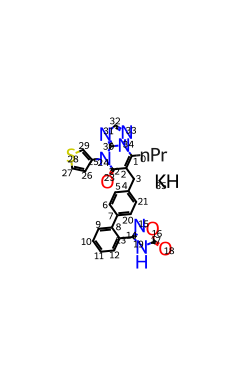 CCCc1c(Cc2ccc(-c3ccccc3-c3noc(=O)[nH]3)cc2)c(=O)n(-c2ccsc2)c2ncnn12.[KH]